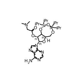 CC(C)[Si]1(C(C)C)OC[C@H]2O[C@@H](n3cnc4c(N)ncnc43)[C@@H](OC(=O)CN(C)C)C2O[Si](C(C)C)(C(C)C)O1